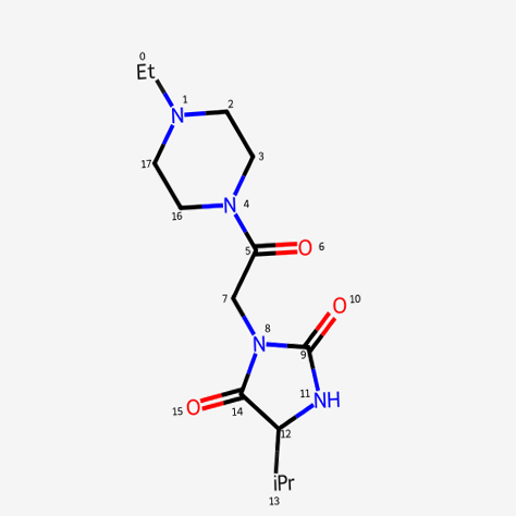 CCN1CCN(C(=O)CN2C(=O)NC(C(C)C)C2=O)CC1